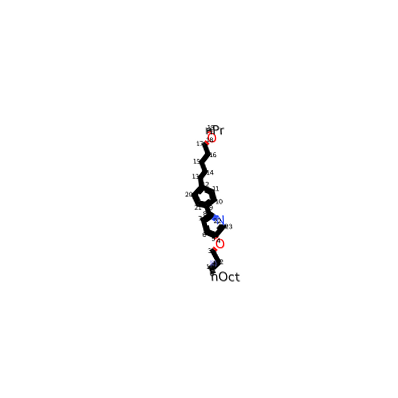 CCCCCCCC/C=C/COc1ccc(-c2ccc(CCCCCOCCC)cc2)nc1